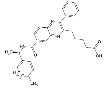 C=C(C)/C=C\C(=C/C)[C@@H](C)NC(=O)c1ccc2nc(-c3ccccc3)c(CCCCC(=O)O)nc2c1